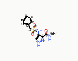 CC(C)NC(=O)c1n[nH]cc1NS(=O)(=O)Cc1ccccc1